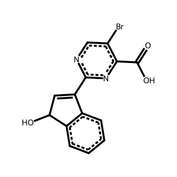 O=C(O)c1nc(C2=CC(O)c3ccccc32)ncc1Br